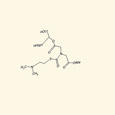 CCCCCCCCC(CCCCCCC)OC(=O)CN(CC(=O)OC)C(=O)SCCN(C)C